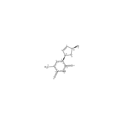 CC[C@@H]1C=C[C@H](n2cc(C)c(=O)[nH]c2=O)O1